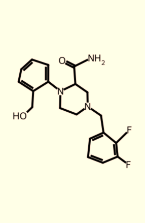 NC(=O)C1CN(Cc2cccc(F)c2F)CCN1c1ccccc1CO